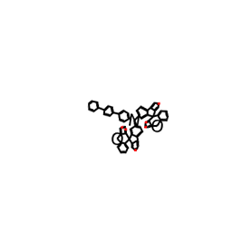 c1ccc(-c2ccc(-c3ccc(N(c4ccc5c(c4)C4(c6ccccc6Oc6ccccc64)c4ccccc4-5)c4ccc5c(c4)C4(c6ccccc6Oc6ccccc64)c4ccccc4-5)cc3)cc2)cc1